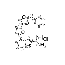 Cl.N=C(N)c1cc2c(-c3ccc(C4COC(Cc5ccccc5)O4)o3)cccc2s1